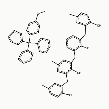 COc1ccc([P+](c2ccccc2)(c2ccccc2)c2ccccc2)cc1.Cc1ccc(O)c(Cc2cccc(Cc3cc(C)cc(Cc4cc(C)ccc4O)c3O)c2[O-])c1